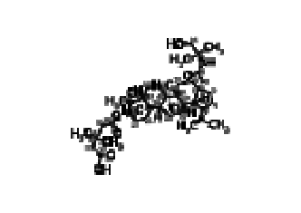 C=C(C)[C@@H]1CC[C@]2(CC(=O)NC(C)(C)CO)CC[C@]3(C)[C@H](CC[C@@H]4[C@@]5(C)CC[C@H](OC(=O)CC(C)(C)CC(=O)O)C(C)(C)[C@@H]5CC[C@]43C)[C@@H]12